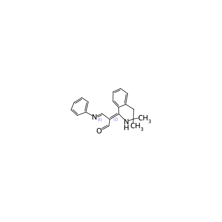 CC1(C)Cc2ccccc2/C(=C(C=O)\C=N\c2ccccc2)N1